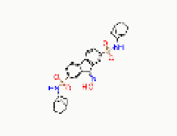 O=S(=O)(NC1CC2CCC1C2)c1ccc2c(c1)C(=NO)c1cc(S(=O)(=O)NC3CC4CCC3C4)ccc1-2